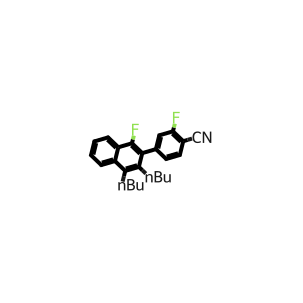 CCCCc1c(-c2ccc(C#N)c(F)c2)c(F)c2ccccc2c1CCCC